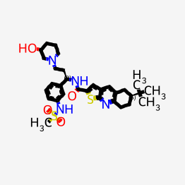 CC(C)(C)[C@H]1CCc2nc3sc(C(=O)N[C@H](CCN4CCCC(O)C4)c4cccc(NS(C)(=O)=O)c4)cc3cc2C1